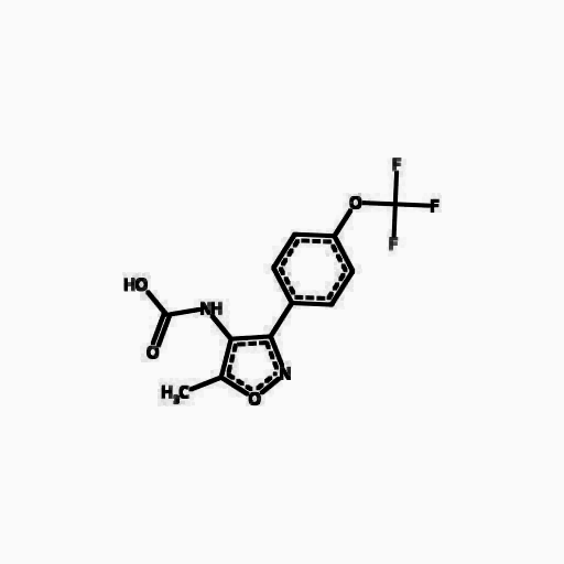 Cc1onc(-c2ccc(OC(F)(F)F)cc2)c1NC(=O)O